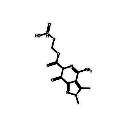 Cc1c2c(N)nn(C(=O)OCO[PH](=O)O)c(=O)c2nn1C